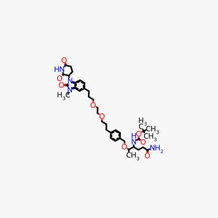 CC(OCc1ccc(CCCOCCOCCCc2ccc3c(c2)n(C)c(=O)n3C2CCC(=O)NC2=O)cc1)C(CCC(N)=O)NC(=O)OC(C)(C)C